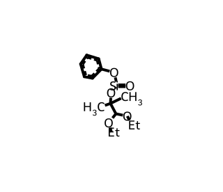 CCOC(OCC)C(C)(C)O[Si](=O)Oc1ccccc1